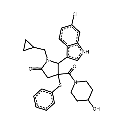 O=C1CC(Sc2ccccc2)(C(=O)N2CCC(O)CC2)C(c2c[nH]c3cc(Cl)ccc23)N1CC1CC1